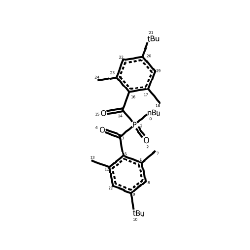 CCCCP(=O)(C(=O)c1c(C)cc(C(C)(C)C)cc1C)C(=O)c1c(C)cc(C(C)(C)C)cc1C